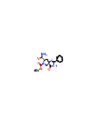 CCCCOC(=O)N1C[C@@]2(C[C@H]1C(N)=O)N=C(c1ccccc1)NC2=O